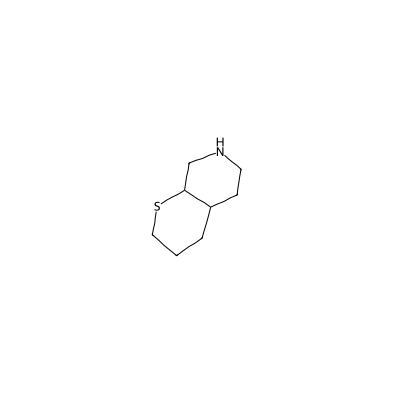 C1CSC2CNCCC2C1